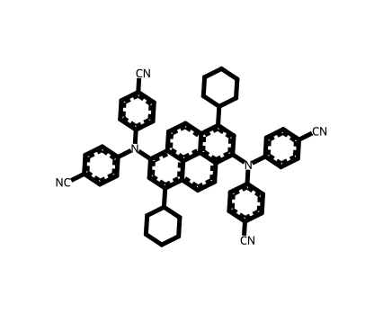 N#Cc1ccc(N(c2ccc(C#N)cc2)c2cc(C3CCCCC3)c3ccc4c(N(c5ccc(C#N)cc5)c5ccc(C#N)cc5)cc(C5CCCCC5)c5ccc2c3c54)cc1